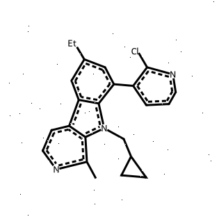 CCc1cc(-c2cccnc2Cl)c2c(c1)c1ccnc(C)c1n2CC1CC1